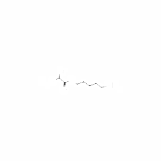 CCCCCCOC(=O)C(C)Br